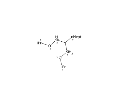 CCCCCCCC([SiH2]OC(C)C)[SiH2]OC(C)C